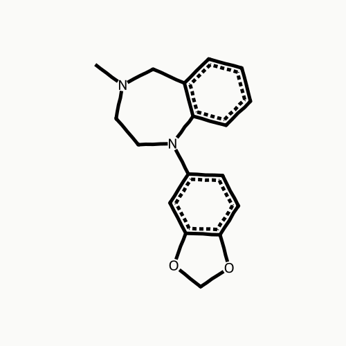 CN1CCN(c2ccc3c(c2)OCO3)c2ccccc2C1